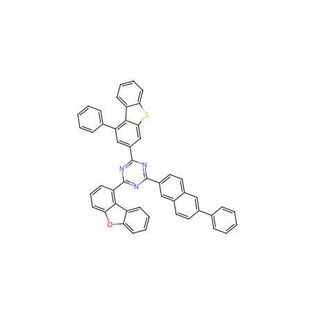 c1ccc(-c2ccc3cc(-c4nc(-c5cc(-c6ccccc6)c6c(c5)sc5ccccc56)nc(-c5cccc6oc7ccccc7c56)n4)ccc3c2)cc1